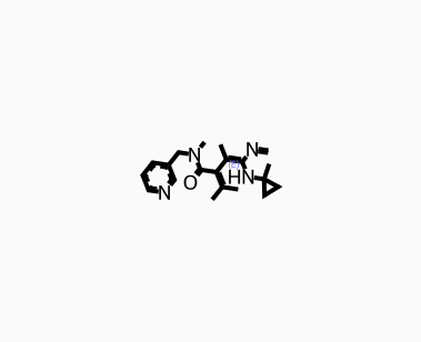 C=N/C(NC1(C)CC1)=C(\C)C(C(=O)N(C)Cc1cccnc1)=C(C)C